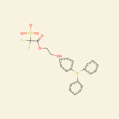 O=C(OCCO)C(F)(F)S(=O)(=O)[O-].c1ccc([S+](c2ccccc2)c2ccccc2)cc1